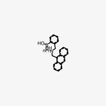 CCCN(Cc1ccccc1B(O)O)Cc1c2ccccc2cc2ccccc12